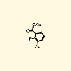 COC(=O)c1cccc(C(C)=O)c1F